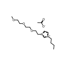 CC(=O)[O-].CCCC[n+]1ccn(CCOCCOCCOC)c1